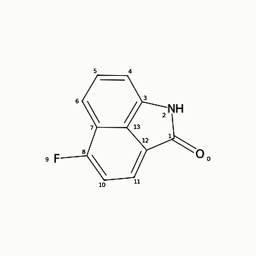 O=C1Nc2cccc3c(F)ccc1c23